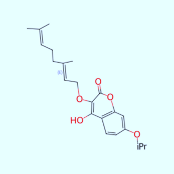 CC(C)=CCC/C(C)=C/COc1c(O)c2ccc(OC(C)C)cc2oc1=O